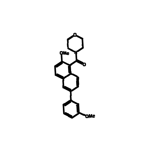 COc1cccc(-c2ccc3c(C(=O)N4CCOCC4)c(OC)ccc3c2)c1